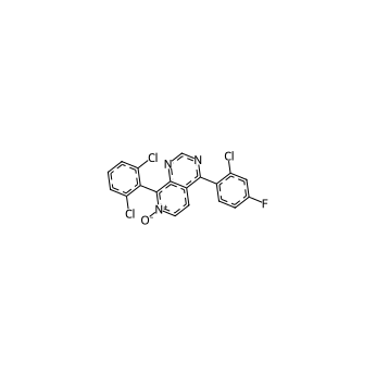 [O-][n+]1ccc2c(-c3ccc(F)cc3Cl)ncnc2c1-c1c(Cl)cccc1Cl